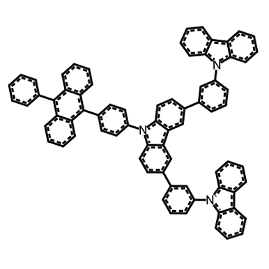 c1ccc(-c2c3ccccc3c(-c3ccc(-n4c5ccc(-c6cccc(-n7c8ccccc8c8ccccc87)c6)cc5c5cc(-c6cccc(-n7c8ccccc8c8ccccc87)c6)ccc54)cc3)c3ccccc23)cc1